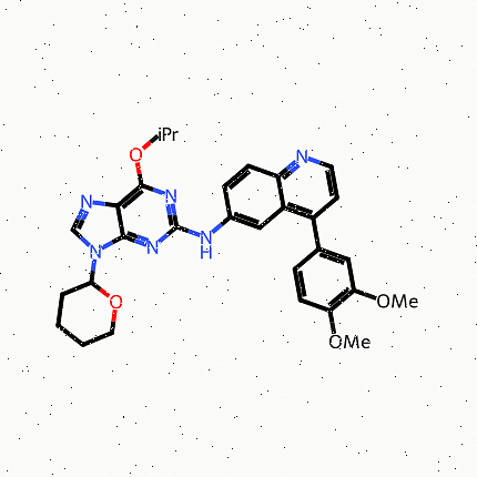 COc1ccc(-c2ccnc3ccc(Nc4nc(OC(C)C)c5ncn(C6CCCCO6)c5n4)cc23)cc1OC